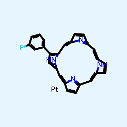 Fc1cccc(-c2cc3cc4nc(cc5ccc(cc6nc(cc2[nH]3)C=C6)[nH]5)C=C4)c1.[Pt]